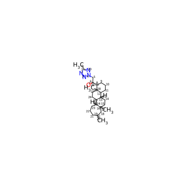 Cc1nnn(CC(=O)[C@H]2CCCC3[C@@H]4CC[C@]5(C)C[C@@H](C)CCC[C@@H]5C4CC[C@@]32C)n1